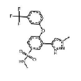 CNS(=O)(=O)c1ccc(Oc2cccc(C(F)(F)F)c2)c(-c2cc(C)n[nH]2)c1